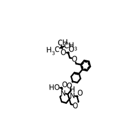 CC(C)(C)OC(=O)COCc1ccccc1C1=CCC(OCC2N(C(=O)O)CCCC23COCC(=O)N3)CC1